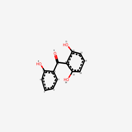 O=C(c1ccccc1O)c1c(O)c[c]cc1O